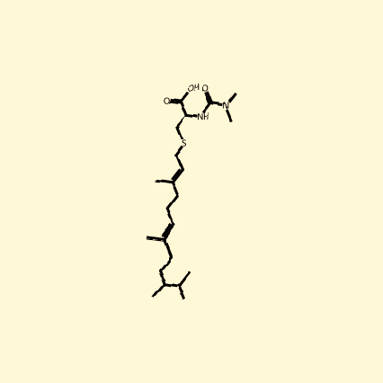 C/C(=C\CSC[C@H](NC(=O)N(C)C)C(=O)O)CC/C=C(\C)CCC(C)C(C)C